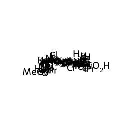 COC(=O)N[C@H](C(=O)N1[C@@H]2C[C@@H]2C[C@H]1c1nc(Cl)c(-c2ccc(-c3ccc4cc(-c5[nH]c([C@@H]6C[C@H]7C[C@H]7N6C(=O)[C@@H](NC(=O)O)C(C)C)nc5Cl)ccc4c3)cc2)[nH]1)C(C)C